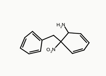 NC1C=CC=CC1(Cc1ccccc1)[N+](=O)[O-]